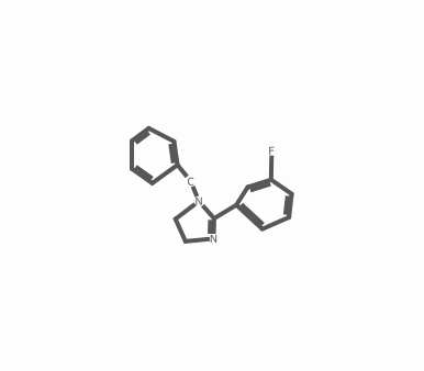 Fc1cccc(C2=NCCN2Cc2ccccc2)c1